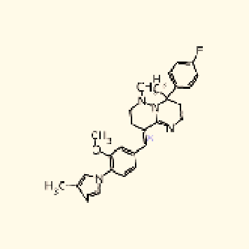 COc1cc(/C=C2\CCN(C)N3C2=NCCC3(C)c2ccc(F)cc2)ccc1-n1cnc(C)c1